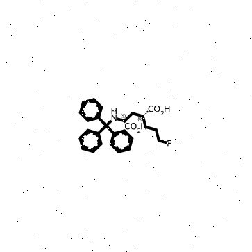 O=C(O)[C@H](CCCF)C[C@H](NC(c1ccccc1)(c1ccccc1)c1ccccc1)C(=O)O